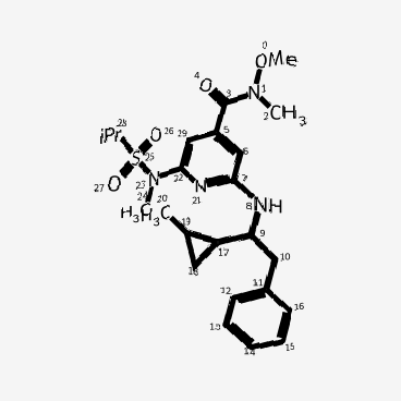 CON(C)C(=O)c1cc(NC(Cc2ccccc2)C2CC2C)nc(N(C)S(=O)(=O)C(C)C)c1